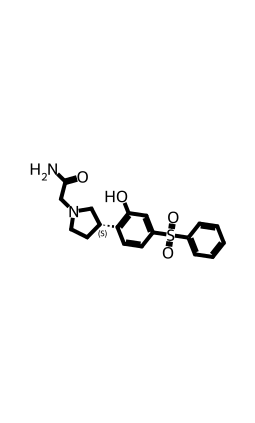 NC(=O)CN1CC[C@@H](c2ccc(S(=O)(=O)c3ccccc3)cc2O)C1